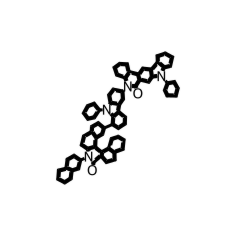 O=c1c2cc3c(cc2c2ccccc2n1-c1ccc2c(c1)c1cccc(-c4ccc5ccc6c(c5c4)c4c(ccc5ccccc54)c(=O)n6-c4ccc5ccccc5c4)c1n2-c1ccccc1)c1ccccc1n3-c1ccccc1